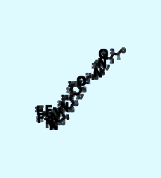 CCCCC(=O)N1CCN(CCCOc2ccc(C3CCN(C4=Nn5c(nnc5C(F)(F)F)CC4)CC3)cc2)CC1